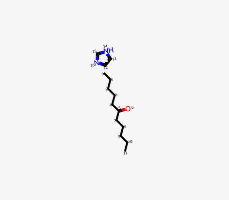 CCCCCC(=O)CCCCC.c1c[nH]cn1